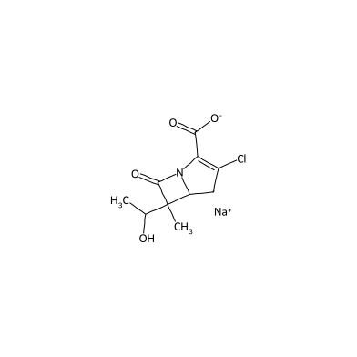 CC(O)C1(C)C(=O)N2C(C(=O)[O-])=C(Cl)CC21.[Na+]